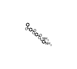 Nc1ccc(CCOC(=O)c2ccc(OC(=O)c3ccc(C(=O)c4ccccc4)cc3)cc2)c(N)c1